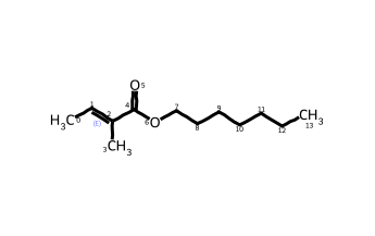 C/C=C(\C)C(=O)OCCCCCCC